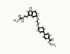 COC(=O)c1ccc(-c2ccc(OCCOc3ccc4[nH]cc(CCNC(C)=O)c4c3)cc2)cc1